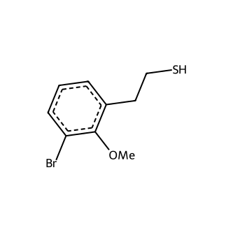 COc1c(Br)cccc1CCS